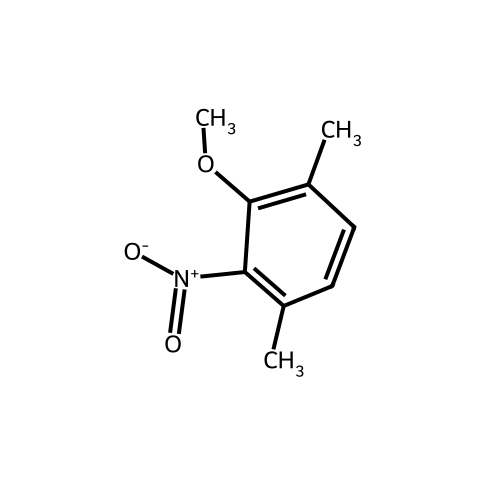 COc1c(C)ccc(C)c1[N+](=O)[O-]